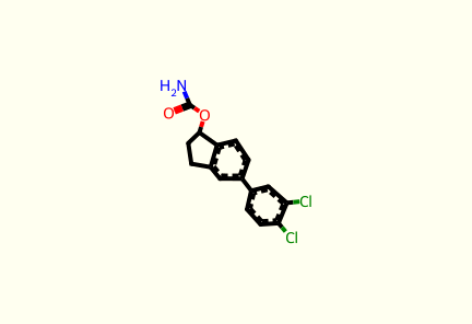 NC(=O)OC1CCc2cc(-c3ccc(Cl)c(Cl)c3)ccc21